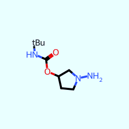 CC(C)(C)NC(=O)OC1CCN(N)C1